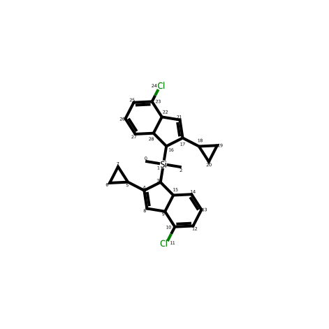 C[Si](C)(C1C(C2CC2)=CC2C(Cl)=CC=CC21)C1C(C2CC2)=CC2C(Cl)=CC=CC21